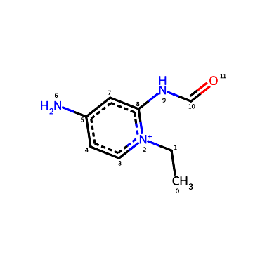 CC[n+]1ccc(N)cc1NC=O